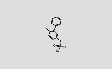 CCP(=O)(O)Oc1ccc(C)c(-c2ccccc2)c1